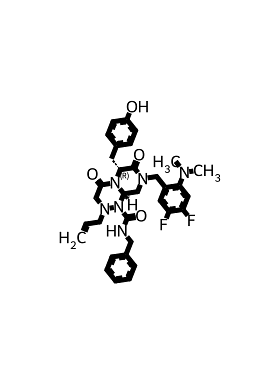 C=CCN1CC(=O)N2[C@H](Cc3ccc(O)cc3)C(=O)N(Cc3cc(F)c(F)cc3N(C)C)C[C@@H]2N1C(=O)NCc1ccccc1